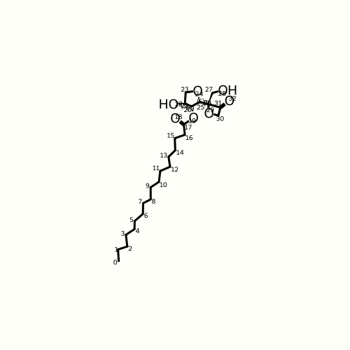 CCCCCCCCCCCCCCCCCC(=O)O[C@@H]1[C@@H](O)CO[C@@H]1[C@@]1(CO)OCC1=O